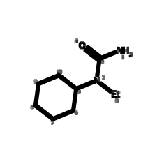 CCN(C(N)=O)C1CCCCC1